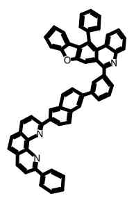 c1ccc(-c2ccc3ccc4ccc(-c5ccc6cc(-c7cccc(-c8nc9ccccc9c9c(-c%10ccccc%10)c%10c(cc89)oc8ccccc8%10)c7)ccc6c5)nc4c3n2)cc1